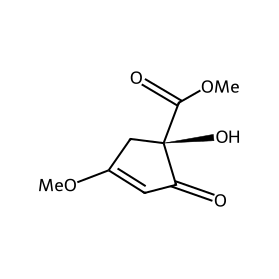 COC(=O)[C@@]1(O)CC(OC)=CC1=O